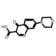 O=C(O)C1C=Nc2cc(N3CCOCC3)ccc2C1=O